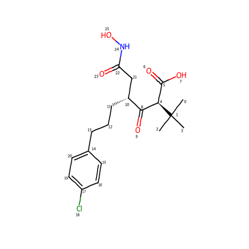 CC(C)(C)[C@H](C(=O)O)C(=O)[C@H](CCCc1ccc(Cl)cc1)CC(=O)NO